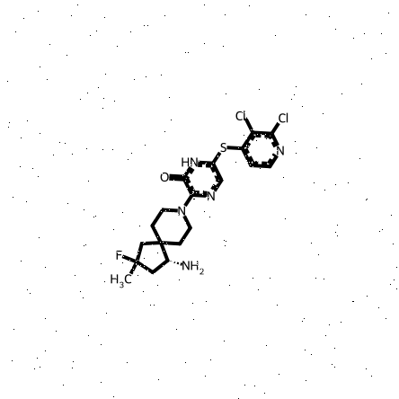 CC1(F)C[C@@H](N)C2(CCN(c3ncc(Sc4ccnc(Cl)c4Cl)[nH]c3=O)CC2)C1